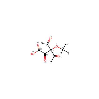 CC(=O)C(OC(C)(C)C)(C(C)=O)C(=O)C(=O)O